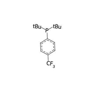 CC(C)(C)P(c1ccc(C(F)(F)F)cc1)C(C)(C)C